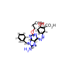 COCCOc1nc(/N=N\c2ccc(O)c(C(=O)O)c2)c2nc(N)n(Cc3ccccc3)c2n1